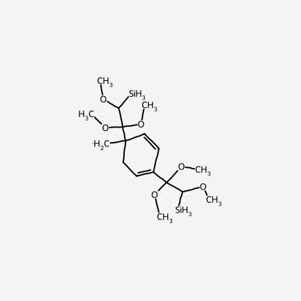 [CH2]C1(C(OC)(OC)C([SiH3])OC)C=CC(C(OC)(OC)C([SiH3])OC)=CC1